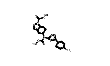 CC(C)(C)OC(=O)N(c1ccc2c(cnn2C(=O)OC(C)(C)C)c1)c1nnc(-c2ccc(N)cc2)s1